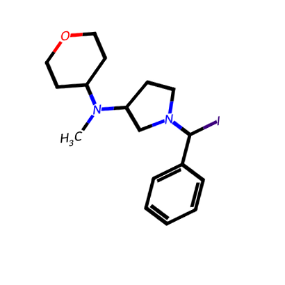 CN(C1CCOCC1)C1CCN(C(I)c2ccccc2)C1